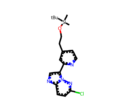 CC(C)(C)[Si](C)(C)OCCc1ccnc(-c2cnc3ccc(Cl)nn23)c1